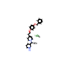 CCCCC(C1CCCNC1)N1CCC(CCOc2ccc(OCc3ccccc3)cc2)CC1.Cl.Cl